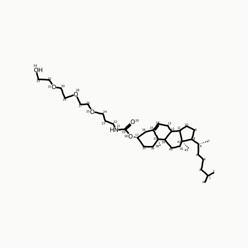 CC(C)CCC[C@@H](C)C1CCC2C3CC=C4C[C@@H](OC(=O)NCCCOCCOCCOCCO)CC[C@]4(C)C3CC[C@@]21C